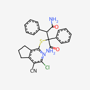 N#Cc1c(Cl)nc(SC([C](C(N)=O)c2ccccc2)(C(N)=O)c2ccccc2)c2c1CCC2